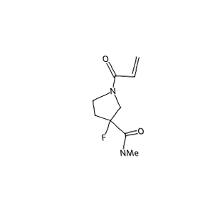 C=CC(=O)N1CCC(F)(C(=O)NC)C1